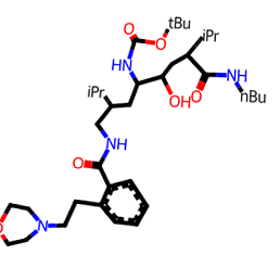 CCCCNC(=O)C(CC(O)C(CC(CNC(=O)c1ccccc1CCN1CCOCC1)C(C)C)NC(=O)OC(C)(C)C)C(C)C